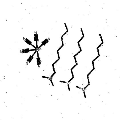 CCCCCCC[CH2][Sn+]([CH3])[CH3].CCCCCCC[CH2][Sn+]([CH3])[CH3].CCCCCCC[CH2][Sn+]([CH3])[CH3].N#[C][Fe-3]([C]#N)([C]#N)([C]#N)([C]#N)[C]#N